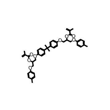 C=C(C)C(=O)OC(COc1ccc(C)cc1)COc1ccc(C(C)(C)c2ccc(OCC(COc3ccc(C)cc3)OC(=O)C(=C)C)cc2)cc1